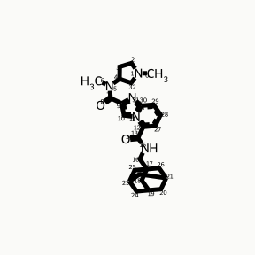 CN1CCC(N(C)C(=O)c2cn3c(C(=O)NCC45CC6CC(CC(C6)C4)C5)cccc3n2)C1